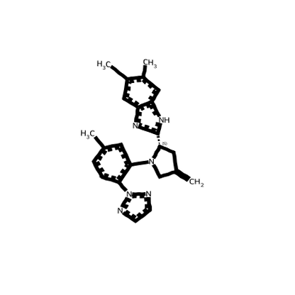 C=C1C[C@@H](c2nc3cc(C)c(C)cc3[nH]2)N(c2cc(C)c[c]c2-n2nccn2)C1